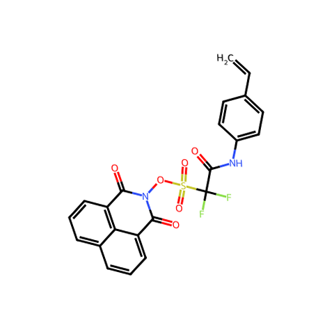 C=Cc1ccc(NC(=O)C(F)(F)S(=O)(=O)ON2C(=O)c3cccc4cccc(c34)C2=O)cc1